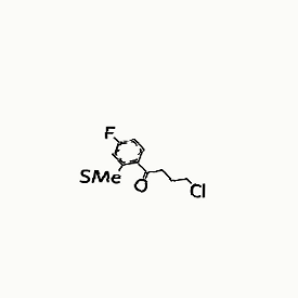 CSc1cc(F)ccc1C(=O)CCCCl